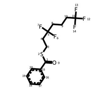 O=C(SCCC(F)(F)CCCC(F)(F)F)c1ccccc1